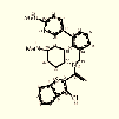 C=C(c1sc2ccccc2c1Cl)N(Cc1cccc(-c2ccc(NC)nc2)c1)[C@H]1CC[C@H](NC)CC1